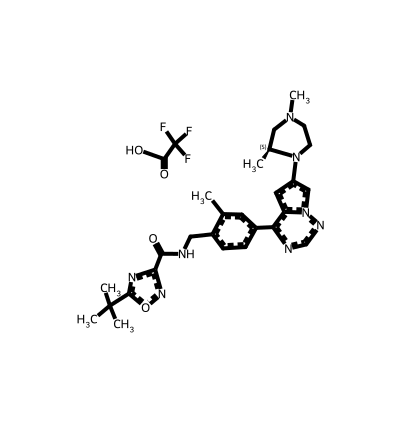 Cc1cc(-c2ncnn3cc(N4CCN(C)C[C@@H]4C)cc23)ccc1CNC(=O)c1noc(C(C)(C)C)n1.O=C(O)C(F)(F)F